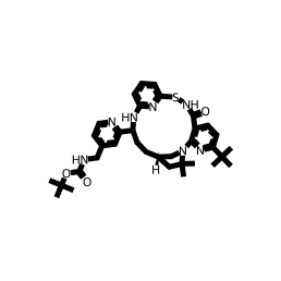 CC(C)(C)OC(=O)NCc1ccnc(C2CC[C@@H]3CN(c4nc(C(C)(C)C)ccc4C(=O)NSc4cccc(n4)N2)C(C)(C)C3)c1